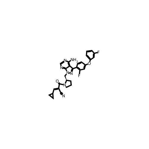 N#CC(=CC1CC1)C(=O)N1CCC[C@@H]1Cn1nc(-c2ccc(Oc3cccc(F)c3)cc2F)c2c(N)ncnc21